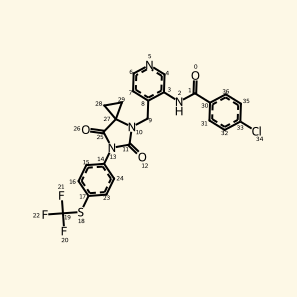 O=C(Nc1cnccc1CN1C(=O)N(c2ccc(SC(F)(F)F)cc2)C(=O)C12CC2)c1ccc(Cl)cc1